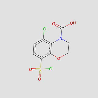 O=C(O)N1CCOc2c(S(=O)(=O)Cl)ccc(Cl)c21